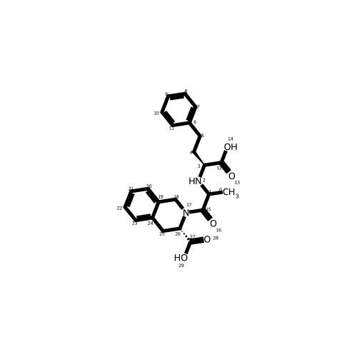 CC(N[C@@H](CCc1ccccc1)C(=O)O)C(=O)N1Cc2ccccc2C[C@H]1C(=O)O